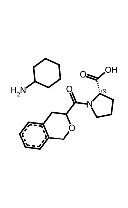 NC1CCCCC1.O=C(O)[C@@H]1CCCN1C(=O)C1Cc2ccccc2CO1